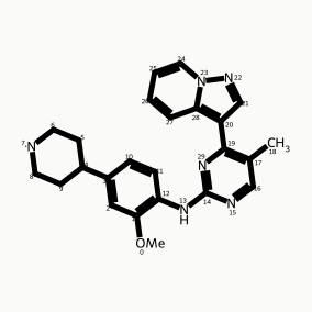 COc1cc(C2CC[N]CC2)ccc1Nc1ncc(C)c(-c2cnn3ccccc23)n1